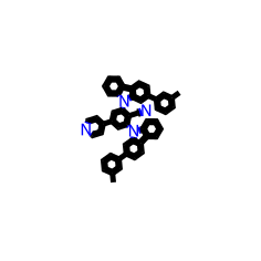 Cc1cccc(-c2ccc3c4ccccc4n(-c4cc(-c5ccncc5)cc(-n5c6ccccc6c6ccc(-c7cccc(C)c7)cc65)c4C#N)c3c2)c1